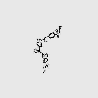 CCOC(=O)C1CC2CCN(C(=O)c3ccc(NC(=O)Cc4ccc(S(=O)(=O)CC5CC5)cc4)cc3)CC2S1